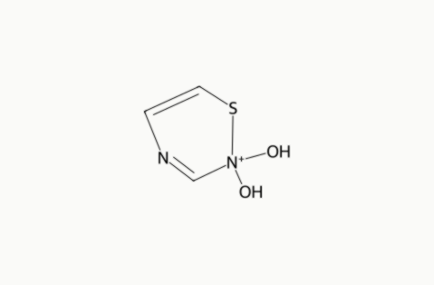 O[N+]1(O)C=NC=CS1